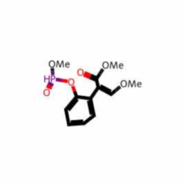 COC=C(C(=O)OC)c1ccccc1O[PH](=O)OC